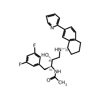 CC(=O)N[C@@H](Cc1cc(F)cc(F)c1)[C@H](O)CN[C@H]1CCCc2ccc(-c3ccccn3)cc21